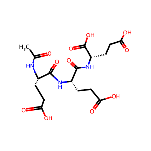 CC(=O)N[C@@H](CCC(=O)O)C(=O)N[C@@H](CCC(=O)O)C(=O)N[C@@H](CCC(=O)O)C(=O)O